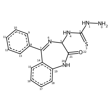 NNC(=S)NC1N=C(c2ccccc2)c2ccccc2NC1=O